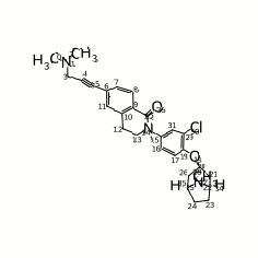 CN(C)CC#Cc1ccc2c(c1)CCN(c1ccc(O[C@H]3C[C@H]4CC[C@@H](C3)N4C)c(Cl)c1)C2=O